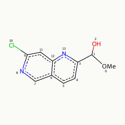 COC(O)c1ccc2cnc(Cl)cc2n1